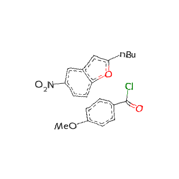 CCCCc1cc2cc([N+](=O)[O-])ccc2o1.COc1ccc(C(=O)Cl)cc1